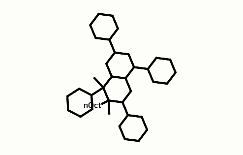 CCCCCCCCC1(C)C(C2CCCCC2)CC2C(C3CCCCC3)CC(C3CCCCC3)CC2C1(C)C1CCCCC1